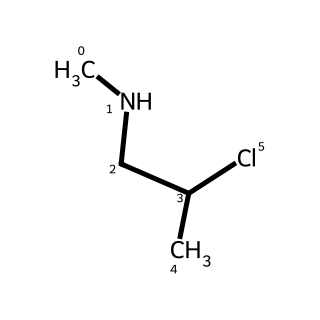 CNCC(C)Cl